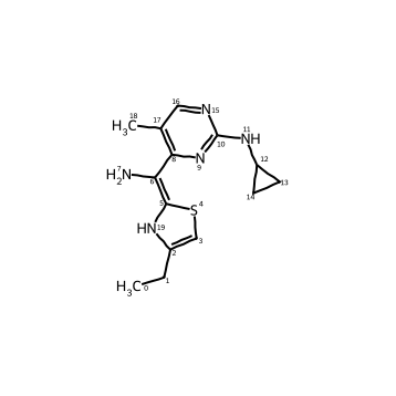 CCC1=CS/C(=C(/N)c2nc(NC3CC3)ncc2C)N1